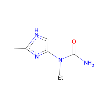 CCN(C(N)=O)c1c[nH]c(C)n1